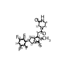 Cn1c(CC(=O)N2CCNC(=O)C2)c2n(c1=S)C[C@@H](c1c(F)c(F)cc(F)c1F)C2